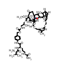 C=C1C[C@@H]2CC[C@@]34C[C@H]5OC6C(O[C@H]7CC[C@@H]8CC(=O)C[C@@H]9[C@@H](OC)[C@@H](C[C@H](O)CNC(=O)OCc%10ccc(NC(=O)[C@H](CCCNC(N)=O)NC(=O)[C@@H](N)C(C)C)cc%10)O[C@H]9C[C@H]9O[C@@H](CC[C@@H]1O2)C[C@@H](C)/C9=N/[C@@]7(O8)[C@@H]6O3)[C@H]5O4